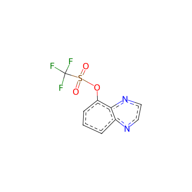 O=S(=O)(Oc1cccc2nccnc12)C(F)(F)F